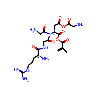 C=C(C)C(=O)OC(=O)[C@H](CC(=O)OC(=O)CN)N(C(=O)CN)C(=O)CNC(=O)[C@@H](N)CCCNC(=N)N